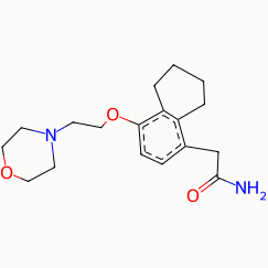 NC(=O)Cc1ccc(OCCN2CCOCC2)c2c1CCCC2